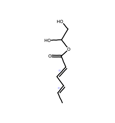 C/C=C/C=C/C(=O)OC(O)CO